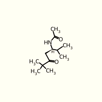 CC(=O)N[C@H](CC(=O)C(C)(C)C)C(C)C